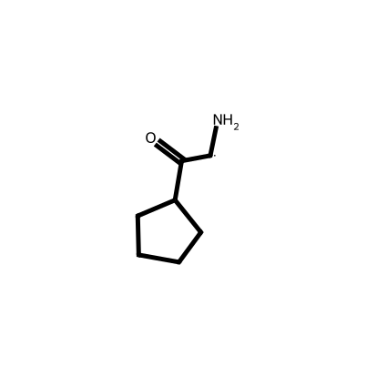 N[CH]C(=O)C1CCCC1